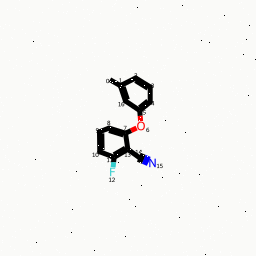 Cc1cccc(Oc2cccc(F)c2C#N)c1